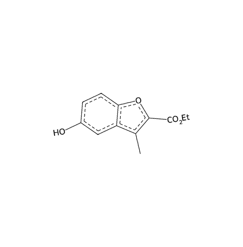 CCOC(=O)c1oc2ccc(O)cc2c1C